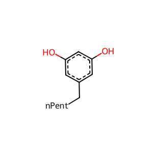 CCCCCCc1cc(O)cc(O)c1